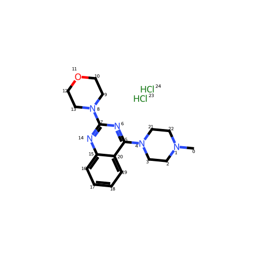 CN1CCN(c2nc(N3CCOCC3)nc3ccccc23)CC1.Cl.Cl